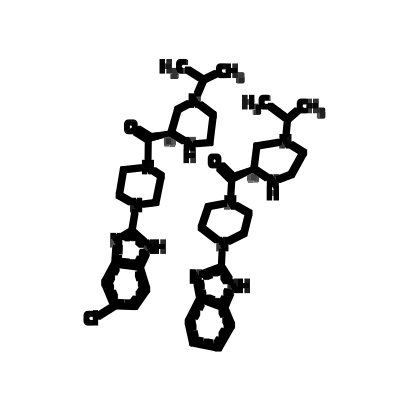 CC(C)N1CCN[C@@H](C(=O)N2CCN(c3nc4cc(Cl)ccc4[nH]3)CC2)C1.CC(C)N1CCN[C@@H](C(=O)N2CCN(c3nc4ccccc4[nH]3)CC2)C1